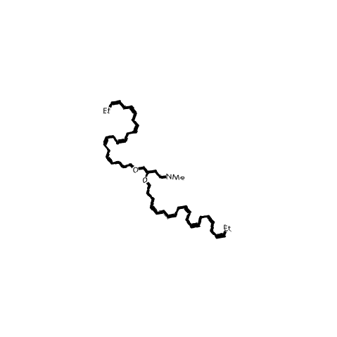 CC/C=C\C/C=C\C/C=C\C/C=C\C/C=C\C/C=C\CCCOCC(CCNC)OCCC/C=C\C/C=C\C/C=C\C/C=C\C/C=C\C/C=C\CC